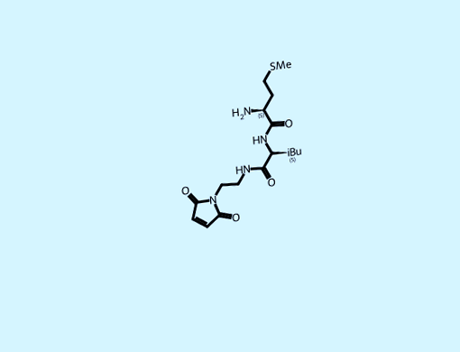 CC[C@H](C)C(NC(=O)[C@@H](N)CCSC)C(=O)NCCN1C(=O)C=CC1=O